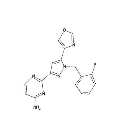 Nc1ccnc(-c2cc(-c3cocn3)n(Cc3ccccc3F)n2)n1